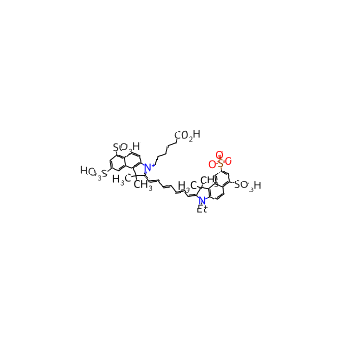 CCN1C(=CC=CC=CC=CC2=[N+](CCCCCC(=O)O)c3ccc4c(S(=O)(=O)O)cc(S(=O)(=O)O)cc4c3C2(C)C)C(C)(C)c2c1ccc1c(S(=O)(=O)O)cc(S(=O)(=O)[O-])cc21